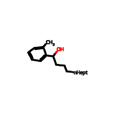 CCCCCCCCCCC(O)c1ccccc1C